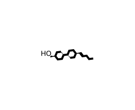 CCCC=C[C@H]1CC[C@H]([C@H]2CC[C@H](CO)CC2)CC1